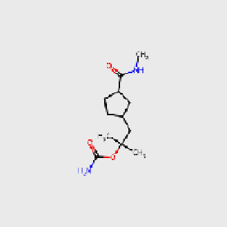 CNC(=O)C1CCC(CC(C)(C)OC(N)=O)C1